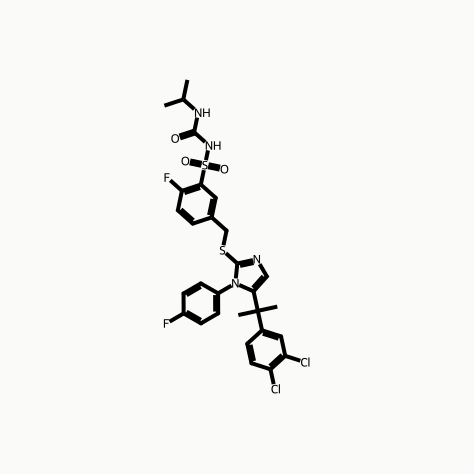 CC(C)NC(=O)NS(=O)(=O)c1cc(CSc2ncc(C(C)(C)c3ccc(Cl)c(Cl)c3)n2-c2ccc(F)cc2)ccc1F